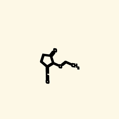 CCOC1C(=O)CCC1=C=O